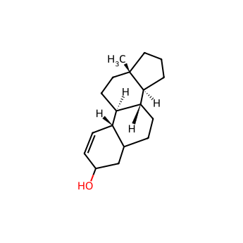 C[C@@]12CCC[C@H]1[C@@H]1CCC3CC(O)C=C[C@@H]3[C@H]1CC2